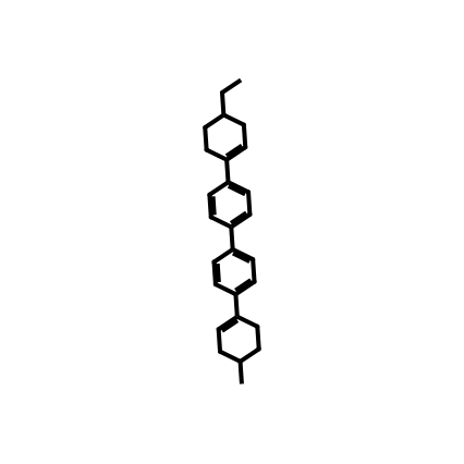 CCC1CC=C(c2ccc(-c3ccc(C4=CCC(C)CC4)cc3)cc2)CC1